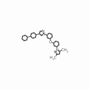 Cc1cc(C)n(-c2cccc(Oc3cccc(-n4cc(-c5ccc(-c6ccccc6)cc5)cn4)c3)c2)n1